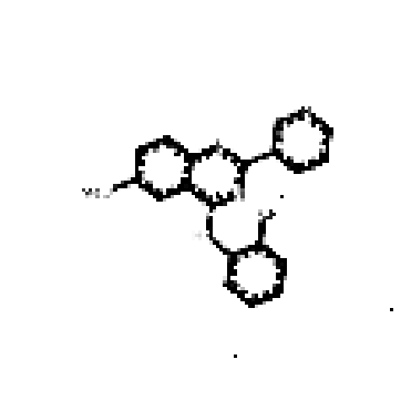 COc1ccc2nc(-c3cccnc3)nc(Nc3ccccc3C#N)c2c1